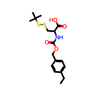 CCc1ccc(COC(=O)NC(CSSC(C)(C)C)C(=O)O)cc1